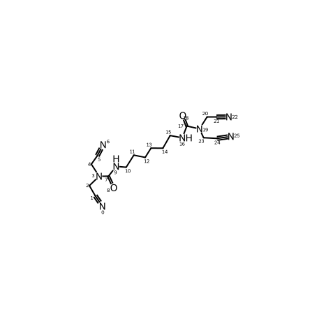 N#CCN(CC#N)C(=O)NCCCCCCNC(=O)N(CC#N)CC#N